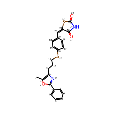 Cc1oc(-c2ccccc2)nc1CCCSc1ccc(C=C2SC(=O)NC2=O)cc1